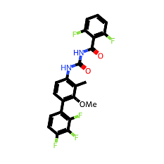 COc1c(-c2ccc(F)c(F)c2F)ccc(NC(=O)NC(=O)c2c(F)cccc2F)c1C